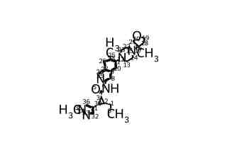 CC[C@@H]1[C@@H](C(=O)Nc2cc3cc(N4CCN([C@]5(C)CCOC5)CC4)c(C)cc3cn2)[C@@H]1c1cnn(C)c1